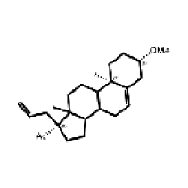 C=CC[C@]1(C(C)=O)CCC2C3CC=C4C[C@@H](OC)CC[C@]4(C)C3CCC21C